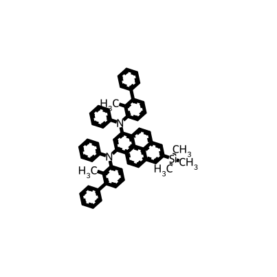 Cc1c(-c2ccccc2)cccc1N(c1ccccc1)c1cc(N(c2ccccc2)c2cccc(-c3ccccc3)c2C)c2ccc3cc([Si](C)(C)C)cc4ccc1c2c43